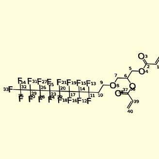 C=CC(=O)OCC(COCCC(F)(F)C(F)(F)C(F)(F)C(F)(F)C(F)(F)C(F)(F)C(F)(F)C(F)(F)F)OC(=O)C=C